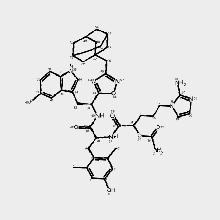 Cc1cc(O)cc(C)c1CC(NC(=O)C(CCCn1ccnc1N)OC(N)=O)C(=O)N[C@@H](Cc1c[nH]c2ccc(F)cc12)c1nc(CC23CC4CC(CC(C4)C2)C3)no1